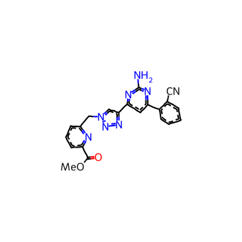 COC(=O)c1cccc(Cn2cc(-c3cc(-c4ccccc4C#N)nc(N)n3)nn2)n1